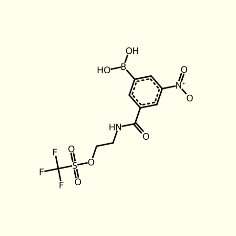 O=C(NCCOS(=O)(=O)C(F)(F)F)c1cc(B(O)O)cc([N+](=O)[O-])c1